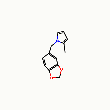 Cc1c[c]cn1Cc1ccc2c(c1)OCO2